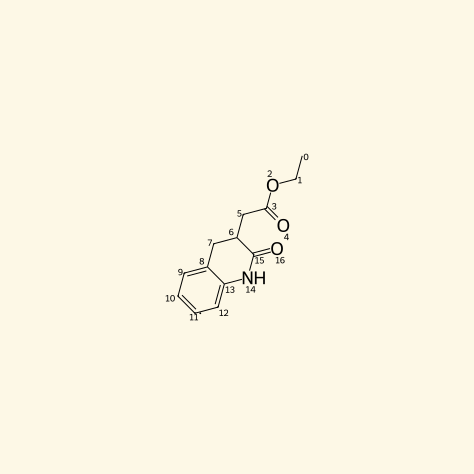 CCOC(=O)CC1Cc2cc[c]cc2NC1=O